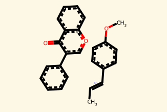 C/C=C/c1ccc(OC)cc1.O=c1c(-c2ccccc2)coc2ccccc12